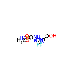 CNS(=O)(=O)c1ccc(Nc2ncc(C(F)(F)F)c(-n3cc(C4CCC(O)C4)cn3)n2)cc1